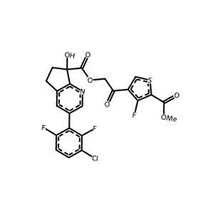 COC(=O)c1scc(C(=O)COC(=O)C2(O)CCc3cc(-c4c(F)ccc(Cl)c4F)cnc32)c1F